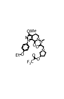 CCOc1ccc(-n2nc(OC)c3c2C(=O)N(N(C)C(=O)CN2CCC(OC(=O)C(F)(F)F)C2)CC3)cc1